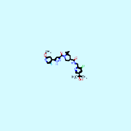 COc1cc(-c2cc(C(=O)N3CCC(C(=O)NCc4ncc(C(C)(C)O)cc4Cl)CC34CC4)n[nH]2)c(F)cn1